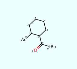 CC(=O)C1CCCCC1C(=O)C(C)(C)C